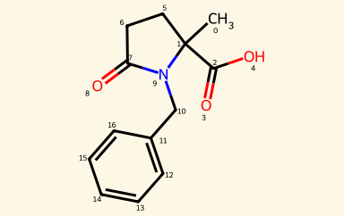 CC1(C(=O)O)CCC(=O)N1Cc1ccccc1